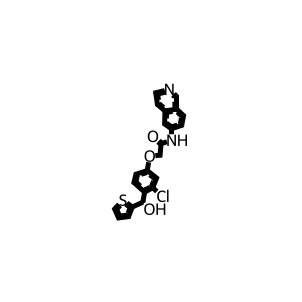 O=C(COc1ccc(C(O)c2cccs2)c(Cl)c1)Nc1ccc2cnccc2c1